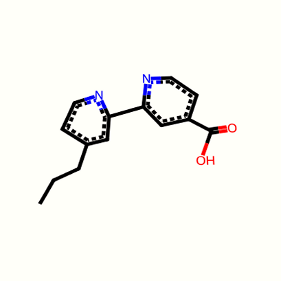 CCCc1ccnc(-c2cc(C(=O)O)ccn2)c1